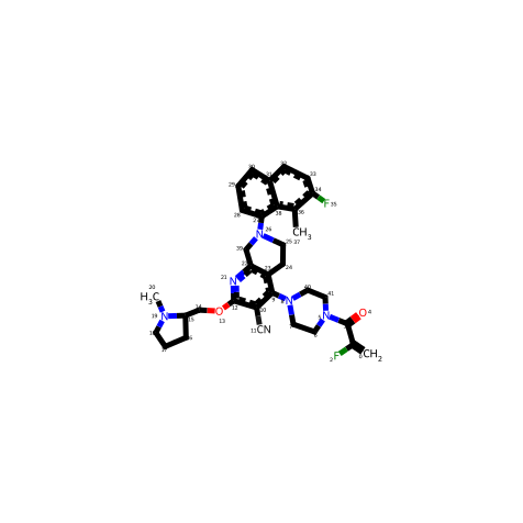 C=C(F)C(=O)N1CCN(c2c(C#N)c(OCC3CCCN3C)nc3c2CCN(c2cccc4ccc(F)c(C)c24)C3)CC1